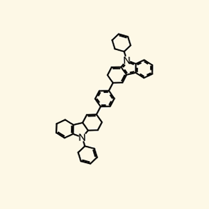 C1=CCC(N2C3=C(CCC=C3)C3C=C(c4ccc(C5C=c6c(n(C7CC=CCC7)c7ccccc67)=CC5)cc4)CCC32)C=C1